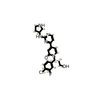 O=c1cc(-c2ccnc(NC3CCNC3)n2)ccn1[C@H](CCO)c1ccc(Cl)c(F)c1